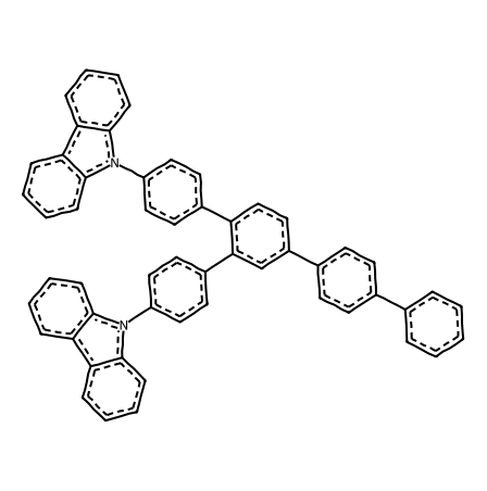 c1ccc(-c2ccc(-c3ccc(-c4ccc(-n5c6ccccc6c6ccccc65)cc4)c(-c4ccc(-n5c6ccccc6c6ccccc65)cc4)c3)cc2)cc1